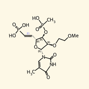 COCCO[C@@H]1[C@H](OP(C)(=O)O)[C@@H](/C=C/P(=O)(O)O)O[C@H]1n1cc(C)c(=O)[nH]c1=O